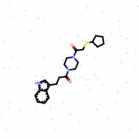 O=C(CCc1c[nH]c2ccccc12)N1CCN(C(=O)CSC2CCCC2)CC1